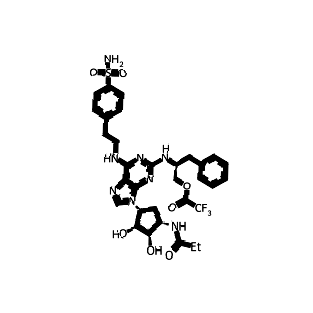 CCC(=O)N[C@H]1C[C@@H](n2cnc3c(NCCc4ccc(S(N)(=O)=O)cc4)nc(N[C@H](COC(=O)C(F)(F)F)Cc4ccccc4)nc32)[C@H](O)[C@@H]1O